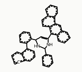 C1=C(c2c3ccccc3cc3c2ccc2ccccc23)NC(c2ccccc2)NC1c1ccccc1-c1cccc2ccccc12